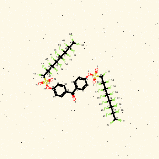 O=C(c1ccc(OS(=O)(=O)C(F)C(F)(F)C(F)(F)C(F)(F)C(F)(F)C(F)(F)C(F)(F)C(F)F)cc1)c1ccc(OS(=O)(=O)C(F)C(F)(F)C(F)(F)C(F)(F)C(F)(F)C(F)(F)C(F)(F)C(F)F)cc1